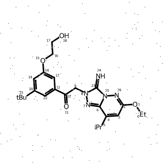 CCOc1cc(C(C)C)c2nn(CC(=O)c3cc(OCCO)cc(C(C)(C)C)c3)c(=N)n2n1